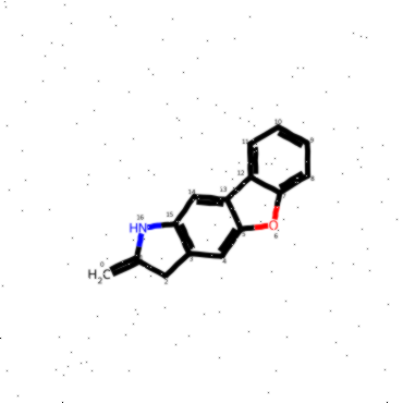 C=C1Cc2cc3oc4ccccc4c3cc2N1